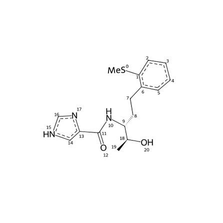 CSc1ccccc1CC[C@@H](NC(=O)c1c[nH]cn1)[C@H](C)O